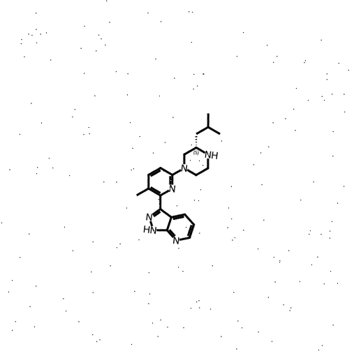 Cc1ccc(N2CCN[C@@H](CC(C)C)C2)nc1-c1n[nH]c2ncccc12